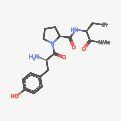 CNC(=O)[C@H](CC(C)C)NC(=O)[C@@H]1CCCN1C(=O)[C@@H](N)Cc1ccc(O)cc1